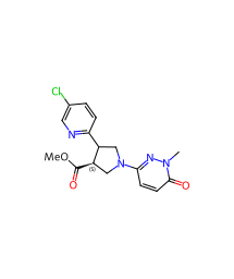 COC(=O)[C@@H]1CN(c2ccc(=O)n(C)n2)CC1c1ccc(Cl)cn1